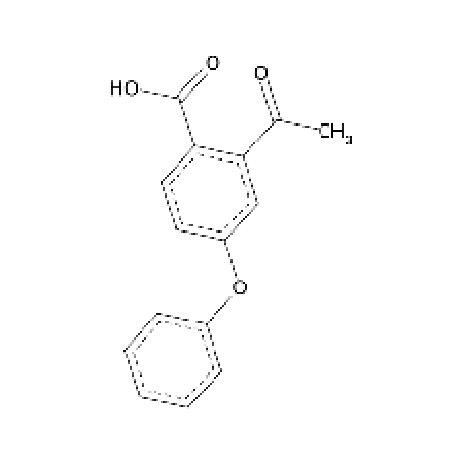 CC(=O)c1cc(Oc2ccccc2)ccc1C(=O)O